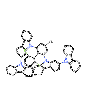 N#Cc1cc(-n2c3ccccc3c3ccc(-n4c5ccccc5c5ccccc54)cc32)c(-c2c(F)cccc2F)c(-n2c3ccccc3c3ccc(-n4c5ccccc5c5ccccc54)cc32)c1